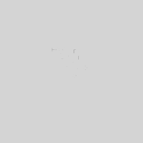 O=C(O)C(F)(F)C(F)(F)C(=O)Oc1ccccc1